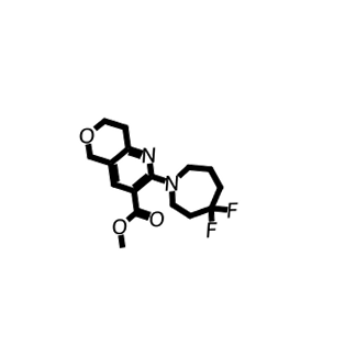 COC(=O)c1cc2c(nc1N1CCCC(F)(F)CC1)CCOC2